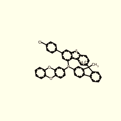 CC1(C)c2ccccc2-c2ccc(N(c3ccc4c(c3)Oc3ccccc3O4)c3cc(-c4ccc(Cl)cc4)cc4sc5ccccc5c34)cc21